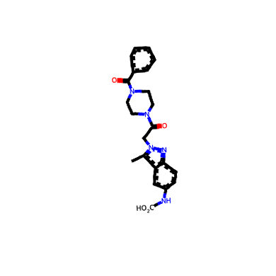 Cc1c2cc(NC(=O)O)ccc2nn1CC(=O)N1CCN(C(=O)c2ccccc2)CC1